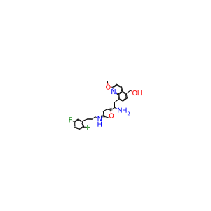 COc1ccc2c(CO)ccc(CC(N)[C@@H]3CC[C@@H](NCC=Cc4cc(F)ccc4F)CO3)c2n1